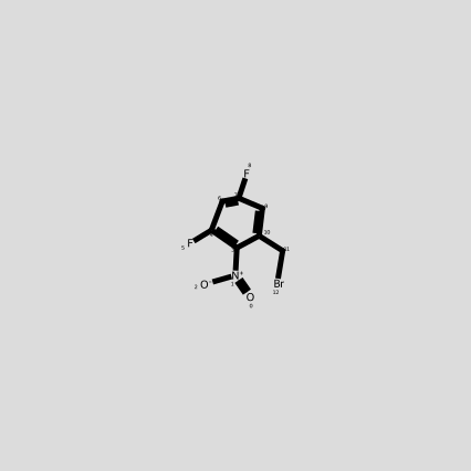 O=[N+]([O-])c1c(F)cc(F)cc1CBr